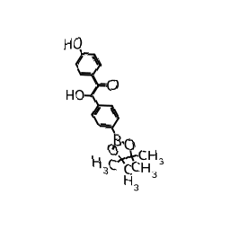 CC1(C)OB(c2ccc(C(O)C(=O)c3ccc(O)cc3)cc2)OC1(C)C